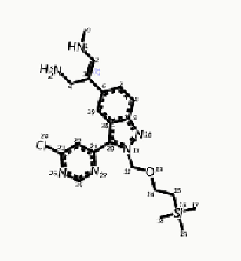 CN/C=C(\CN)c1ccc2nn(COCC[Si](C)(C)C)c(-c3cc(Cl)ncn3)c2c1